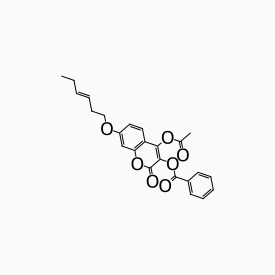 CCC=CCCOc1ccc2c(OC(C)=O)c(OC(=O)c3ccccc3)c(=O)oc2c1